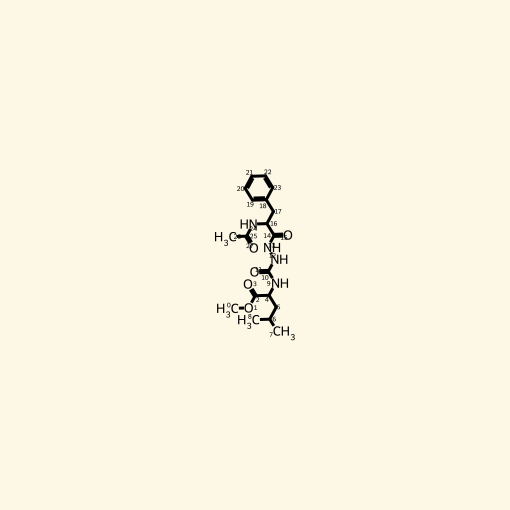 COC(=O)C(CC(C)C)NC(=O)NNC(=O)C(Cc1ccccc1)NC(C)=O